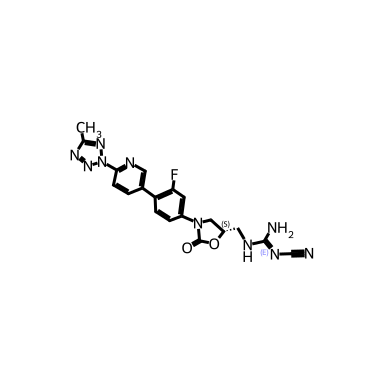 Cc1nnn(-c2ccc(-c3ccc(N4C[C@H](CN/C(N)=N/C#N)OC4=O)cc3F)cn2)n1